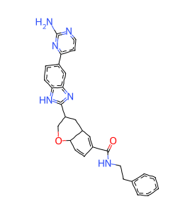 Nc1nccc(-c2ccc3[nH]c(C4COC5C=CC(C(=O)NCCc6ccccc6)=CC5C4)nc3c2)n1